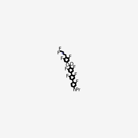 CCCc1ccc(-c2cc(F)c(-c3cc(F)c(C(=O)Oc4cc(F)c(C/C=C/C(F)F)c(F)c4)c(F)c3)c(F)c2)c(F)c1